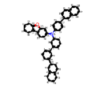 c1cc(-c2cccc(N(c3ccc(-c4ccc5ccccc5c4)cc3)c3ccc4c(c3)oc3ccccc34)c2)cc(-c2ccc3ccccc3c2)c1